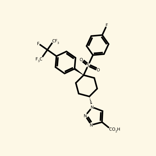 O=C(O)c1cn([C@H]2CC[C@@](c3ccc(C(F)(C(F)(F)F)C(F)(F)F)cc3)(S(=O)(=O)c3ccc(F)cc3)CC2)nn1